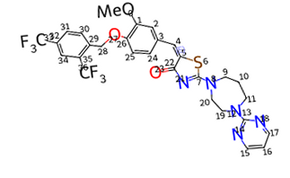 COc1cc(/C=C2/SC(N3CCCN(c4ncccn4)CC3)=NC2=O)ccc1OCc1ccc(C(F)(F)F)cc1C(F)(F)F